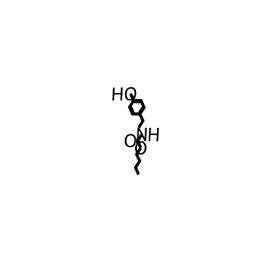 CCCCOC(=O)NCCc1ccc(O)cc1